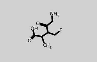 CC(C(=O)O)C(CF)C(=O)CN